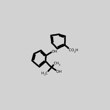 CC(C)(O)c1ccccc1O.O=C(O)c1ccccc1